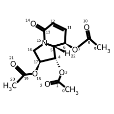 CC(=O)O[C@H]1[C@H]2[C@H](OC(C)=O)C=CC(=O)N2C[C@@H]1OC(C)=O